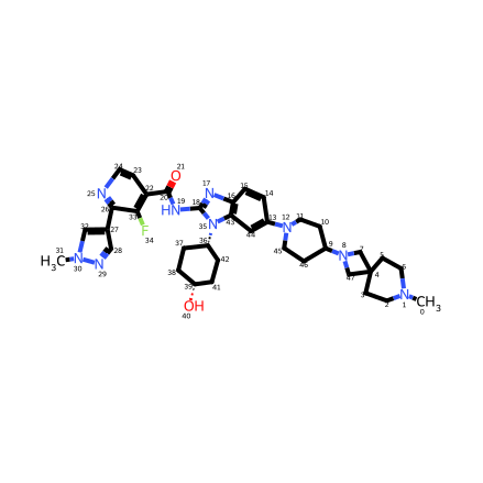 CN1CCC2(CC1)CN(C1CCN(c3ccc4nc(NC(=O)c5ccnc(-c6cnn(C)c6)c5F)n([C@H]5CC[C@@H](O)CC5)c4c3)CC1)C2